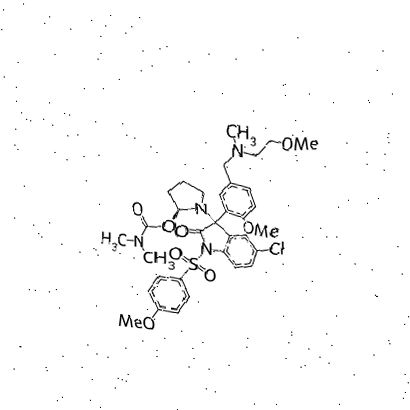 COCCN(C)Cc1ccc(OC)c(C2(N3CCC[C@@H]3OC(=O)N(C)C)C(=O)N(S(=O)(=O)c3ccc(OC)cc3)c3ccc(Cl)cc32)c1